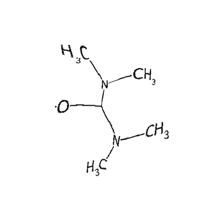 CN(C)C([O])N(C)C